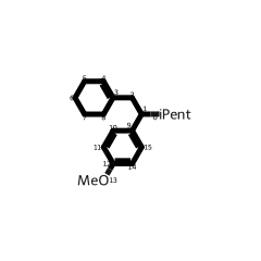 CCCC(C)C(CC1=CCCCC1)c1ccc(OC)cc1